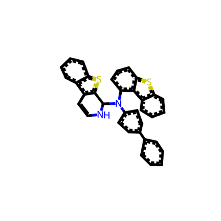 C1=Cc2c(sc3ccccc23)C(N(c2ccc(-c3ccccc3)cc2)c2cccc3sc4ccccc4c23)N1